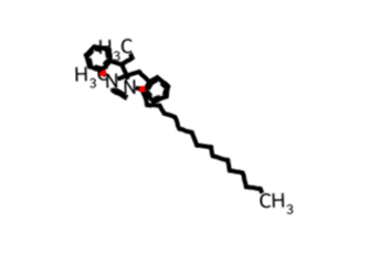 CCCCCCCCCCCCCCCCN1C=CN(C)C1(Cc1ccccc1)C(CC)c1ccccc1